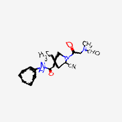 CN(C=O)CC(=O)N1CC(C)(C(=O)Nc2ccccc2)CC1C#N